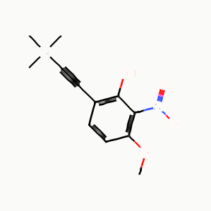 COc1ccc(C#C[Si](C)(C)C)c(O)c1[N+](=O)[O-]